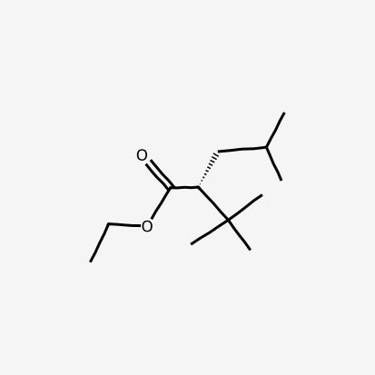 CCOC(=O)[C@H](CC(C)C)C(C)(C)C